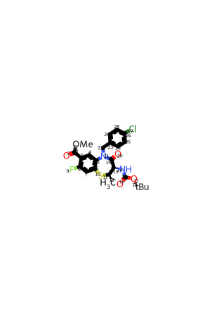 COC(=O)c1cc2c(cc1F)S[C@H](C)[C@H](NC(=O)OC(C)(C)C)C(=O)N2Cc1ccc(Cl)cc1